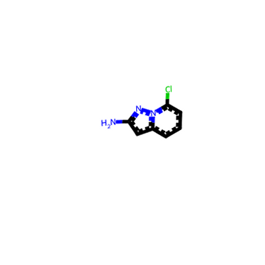 Nc1cc2cccc(Cl)n2n1